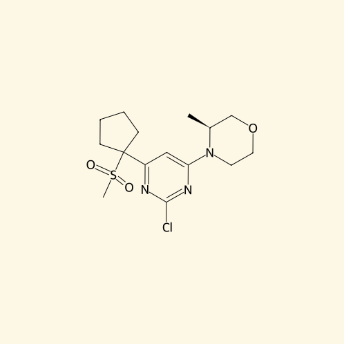 C[C@H]1COCCN1c1cc(C2(S(C)(=O)=O)CCCC2)nc(Cl)n1